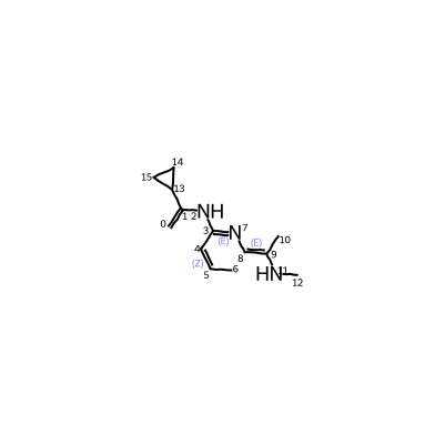 C=C(NC(/C=C\C)=N/C=C(\C)NC)C1CC1